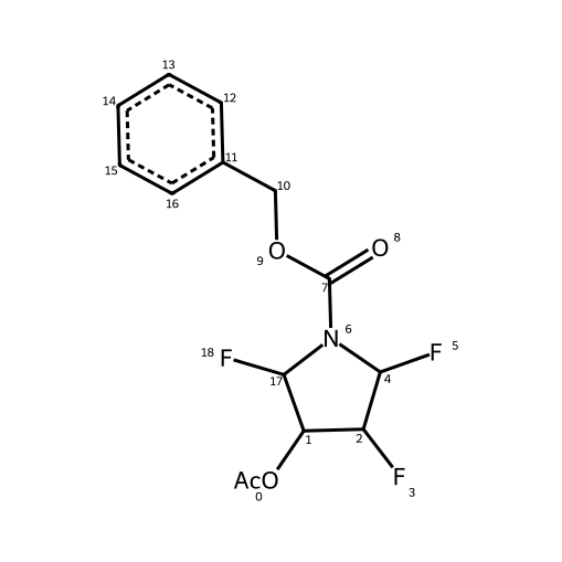 CC(=O)OC1C(F)C(F)N(C(=O)OCc2ccccc2)C1F